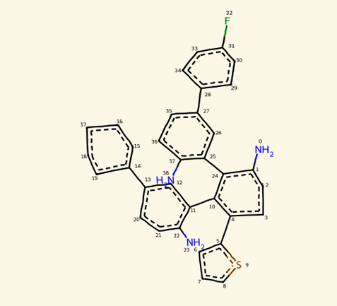 Nc1[c]cc(-c2cccs2)c(-c2cc(-c3ccccc3)ccc2N)c1-c1cc(-c2ccc(F)cc2)ccc1N